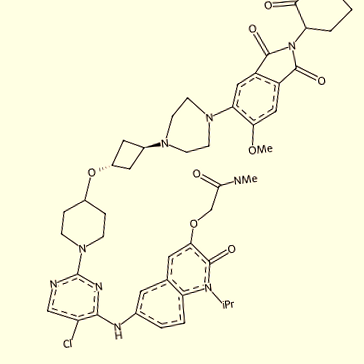 CNC(=O)COc1cc2cc(Nc3nc(N4CCC(O[C@H]5C[C@H](N6CCN(c7cc8c(cc7OC)C(=O)N(C7CCC(=O)NC7=O)C8=O)CC6)C5)CC4)ncc3Cl)ccc2n(C(C)C)c1=O